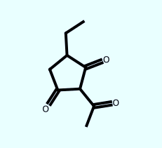 CCC1CC(=O)C(C(C)=O)C1=O